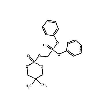 CC1(C)COP(=O)(OCP(=P)(Oc2ccccc2)Oc2ccccc2)OC1